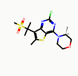 Cc1sc2c(N3CCOC[C@H]3C)nc(Cl)nc2c1C(C)(C)S(C)(=O)=O